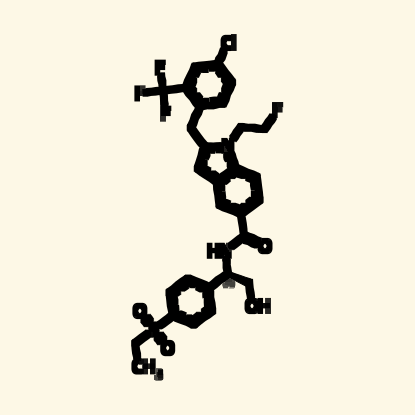 CCS(=O)(=O)c1ccc([C@H](CO)NC(=O)c2ccc3c(c2)cc(Cc2ccc(Cl)cc2C(F)(F)F)n3CCF)cc1